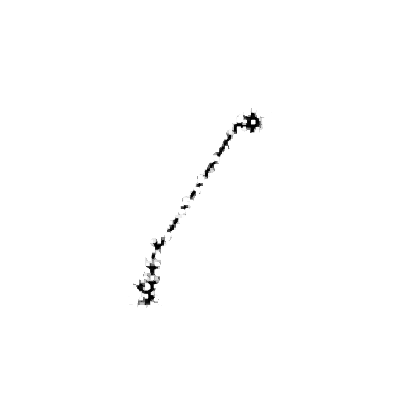 CCCN(OCC)C(=O)C1=Cc2cnc(-c3cnc(CNC(=O)CCOCCOCCOCCOCCOCCOCCOCCOCCOCCOCCC(=O)Oc4c(F)c(F)c(S(=O)(=O)O)c(F)c4F)nc3)nc2N=C(N)C1